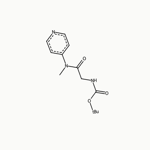 CN(C(=O)CNC(=O)OC(C)(C)C)c1ccncc1